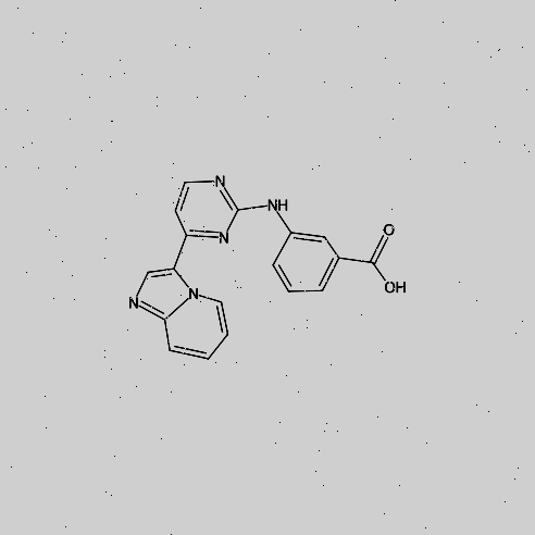 O=C(O)c1cccc(Nc2nccc(-c3cnc4ccccn34)n2)c1